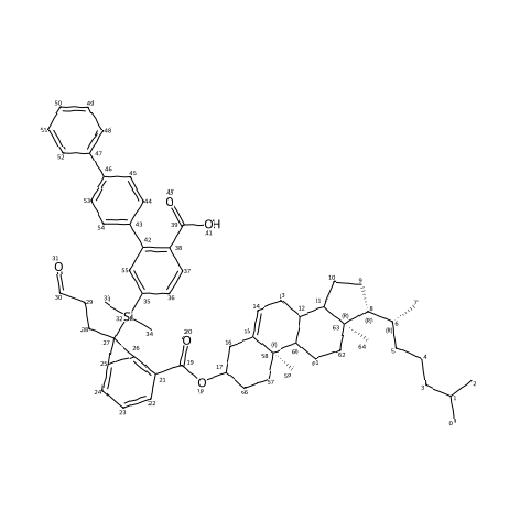 CC(C)CCC[C@@H](C)[C@H]1CCC2C3CC=C4CC(OC(=O)c5cccc6c5C6(CCC=O)[Si](C)(C)c5ccc(C(=O)O)c(-c6ccc(-c7ccccc7)cc6)c5)CC[C@]4(C)C3CC[C@@]21C